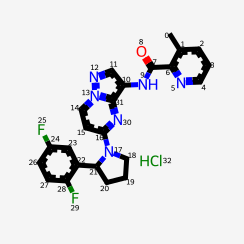 Cc1cccnc1C(=O)Nc1cnn2ccc(N3CCCC3c3cc(F)ccc3F)nc12.Cl